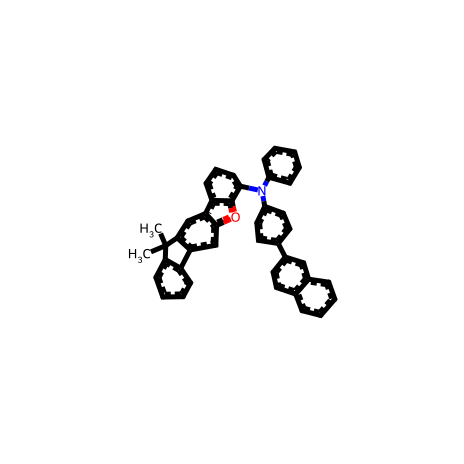 CC1(C)c2ccccc2-c2cc3oc4c(N(c5ccccc5)c5ccc(-c6ccc7ccccc7c6)cc5)cccc4c3cc21